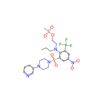 CCCN(CCOS(C)(=O)=O)c1c(C(F)(F)F)cc([N+](=O)[O-])cc1S(=O)(=O)N1CCN(c2cccnc2)CC1